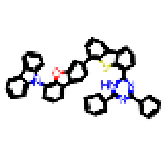 c1ccc(C2=NC(c3cccc4c3sc3c(-c5ccc6c(c5)oc5c(-n7c8ccccc8c8ccccc87)cccc56)cccc34)NC(c3ccccc3)=N2)cc1